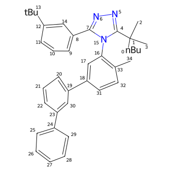 CCCCC(C)(C)c1nnc(-c2cccc(C(C)(C)C)c2)n1-c1cc(-c2cccc(-c3ccccc3)c2)ccc1C